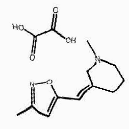 Cc1cc(/C=C2/CCCN(C)C2)on1.O=C(O)C(=O)O